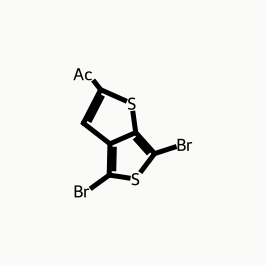 CC(=O)c1cc2c(Br)sc(Br)c2s1